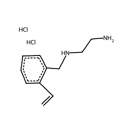 C=Cc1ccccc1CNCCN.Cl.Cl